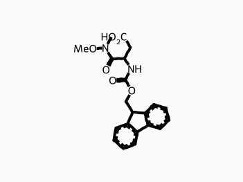 CON(C)C(=O)C(CC(=O)O)NC(=O)OCC1c2ccccc2-c2ccccc21